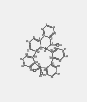 O=c1c2ccccc2c2cccc3c2n1-c1ccccc1-c1ccccc1S(=O)(=O)c1ccccc1-3